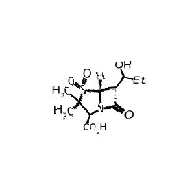 CC[C@H](O)[C@@H]1C(=O)N2[C@@H](C(=O)O)C(C)(C)S(=O)(=O)[C@H]12